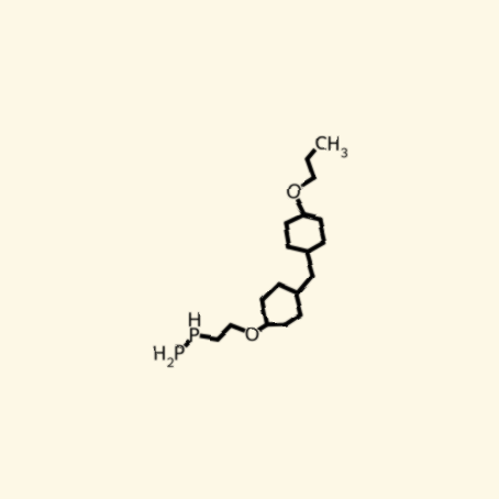 CCCOC1CCC(CC2CCC(OCCPP)CC2)CC1